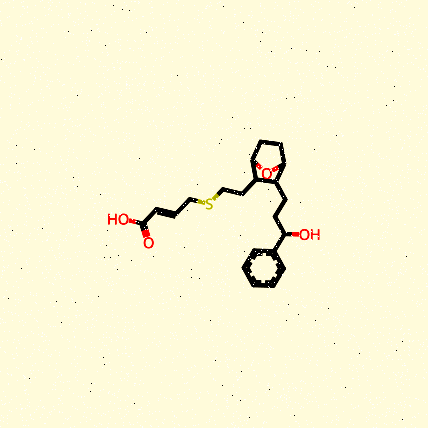 O=C(O)C=CCSCCC1C2CCC(O2)C1CCC(O)c1ccccc1